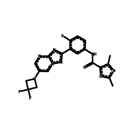 Cc1nc(C)c(C(=O)Nc2ccc(F)c(-c3nc4ncc(N5CC(F)(F)C5)cn4n3)c2)o1